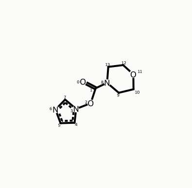 O=C(On1ccnc1)N1CCOCC1